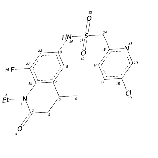 CCN1C(=O)CC(C)c2cc(NS(=O)(=O)Cc3ccc(Cl)cn3)cc(F)c21